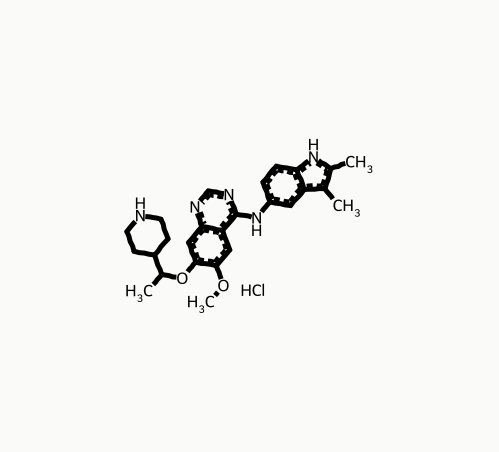 COc1cc2c(Nc3ccc4[nH]c(C)c(C)c4c3)ncnc2cc1OC(C)C1CCNCC1.Cl